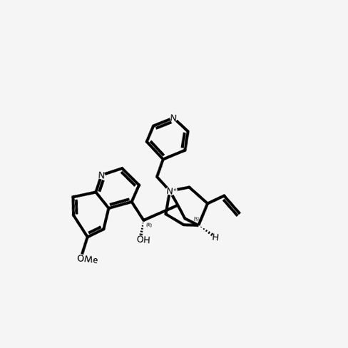 C=CC1C[N+]2(Cc3ccncc3)CC[C@H]1CC2[C@H](O)c1ccnc2ccc(OC)cc12